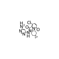 Nc1cc(NN2C(=O)c3c(Cl)ccc(=O)n3C23CCC2(CC2)CC3)ncn1